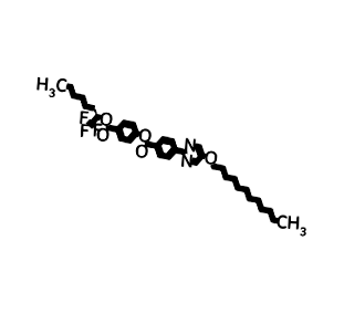 CCCCCCCCCCCCOc1cnc(-c2ccc(C(=O)Oc3ccc(C(=O)O[C@@H](CCCCCC)C(F)(F)F)cc3)cc2)nc1